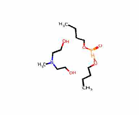 CCCCO[PH](=O)OCCCC.CN(CCO)CCO